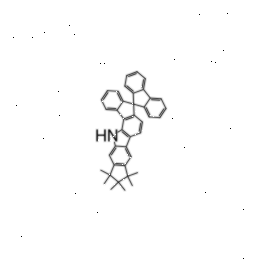 CC1(C)c2cc3[nH]c4c5c(ccc4c3cc2C(C)(C)C1(C)C)C1(c2ccccc2-c2ccccc21)c1ccccc1-5